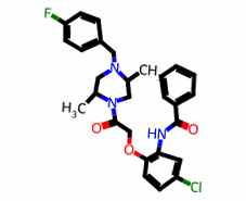 CC1CN(C(=O)COc2ccc(Cl)cc2NC(=O)c2ccccc2)C(C)CN1Cc1ccc(F)cc1